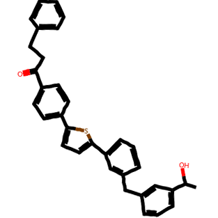 CC(O)c1cccc(Cc2cccc(-c3ccc(-c4ccc(C(=O)CCc5ccccc5)cc4)s3)c2)c1